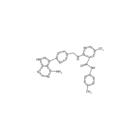 Cc1ccc(NC(=O)c2cc(C(F)(F)F)cnc2NCc2ccc(-c3c[nH]c4ncnc(N)c34)cc2)cc1